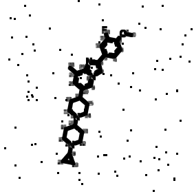 COc1ccc(-c2cn3cc(C4CCN(C5CCN(C6CC6)CC5)CC4)cc(C)c3n2)cc1F